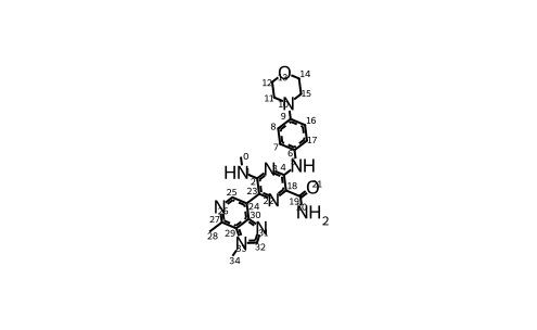 CNc1nc(Nc2ccc(N3CCOCC3)cc2)c(C(N)=O)nc1-c1cnc(C)c2c1ncn2C